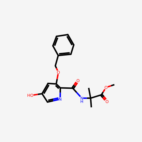 COC(=O)C(C)(C)NC(=O)c1ncc(O)cc1OCc1ccccc1